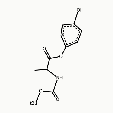 CC(NC(=O)OC(C)(C)C)C(=O)Oc1ccc(O)cc1